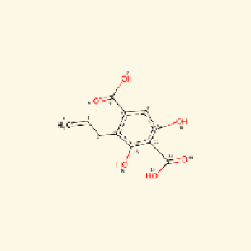 C=CCc1c(C(=O)O)cc(O)c(C(=O)O)c1O